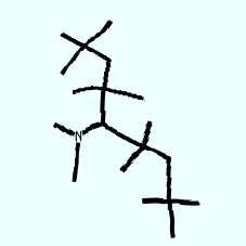 CN(C)C(C(C)(C)CC(C)(C)C)C(C)(C)CC(C)(C)C